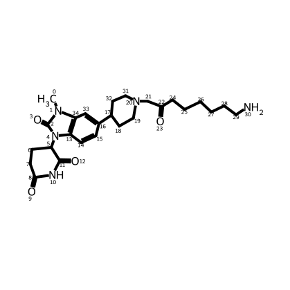 Cn1c(=O)n(C2CCC(=O)NC2=O)c2ccc(C3CCN(CC(=O)CCCCCCN)CC3)cc21